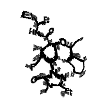 CCc1nn(-c2cc(OC(C)C3CCCC3)c(C(=O)NC(CC)CC)cc2F)c(=O)n1C